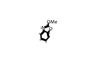 COc1nc2c[c]ccc2o1